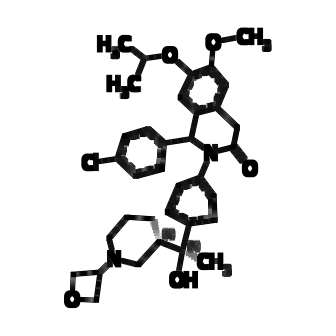 COc1cc2c(cc1OC(C)C)C(c1ccc(Cl)cc1)N(c1ccc([C@@](C)(O)[C@H]3CCCN(C4COC4)C3)cc1)C(=O)C2